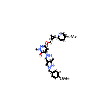 COc1ccc(Cn2cc(CNc3cc(OC[C@H]4C[C@@H]4c4ccc(OC)cn4)nn(C)c3=O)c(C)n2)cc1